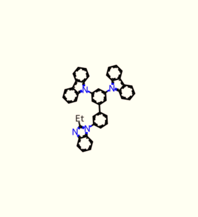 CCc1nc2ccccc2n1-c1cccc(-c2cc(-n3c4ccccc4c4ccccc43)cc(-n3c4ccccc4c4ccccc43)c2)c1